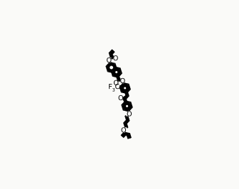 C=CC(=C)OCCCCOc1ccc(C(=O)Cc2ccc(OC(=O)c3ccc4c(c3)CCC(OC(=O)C=C)C4)c(C(F)(F)F)c2)cc1